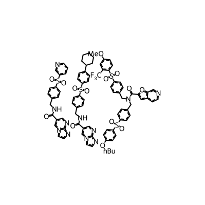 CCCCOc1ccc(S(=O)(=O)c2ccc(CN(Cc3ccc(S(=O)(=O)c4ccc(OC)cc4C(F)(F)F)cc3)C(=O)c3cc4ccncc4o3)cc2)cc1.O=C(NCc1ccc(S(=O)(=O)c2ccc(C3CCCCC3)cc2)cc1)c1cnc2nccn2c1.O=C(NCc1ccc(S(=O)(=O)c2cccnc2)cc1)c1cnc2nccn2c1